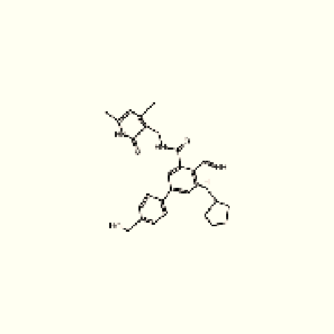 Cc1cc(C)c(CNC(=O)c2cc(-c3ccc(CO)cc3)cc(NC3CCCC3)c2C=N)c(=O)[nH]1